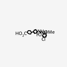 COc1ccc(Cl)cc1NC(=O)Nc1ccc(C2CCC(C(=O)O)CC2)cc1F